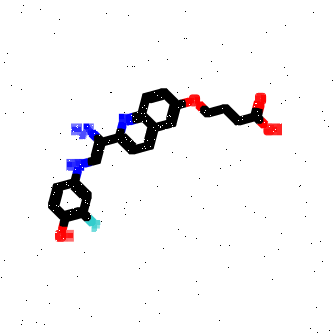 N/C(=C\Nc1ccc(O)c(F)c1)c1ccc2cc(OCCCC(=O)O)ccc2n1